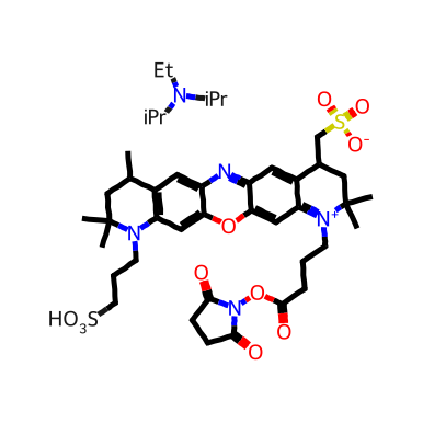 CC1CC(C)(C)N(CCCS(=O)(=O)O)c2cc3c(cc21)N=c1cc2c(cc1O3)=[N+](CCCC(=O)ON1C(=O)CCC1=O)C(C)(C)CC2CS(=O)(=O)[O-].CCN(C(C)C)C(C)C